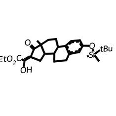 CCOC(=O)C(O)=C1CC2C3CCc4cc(O[Si](C)(C)C(C)(C)C)ccc4C3CCC2(C)C1=O